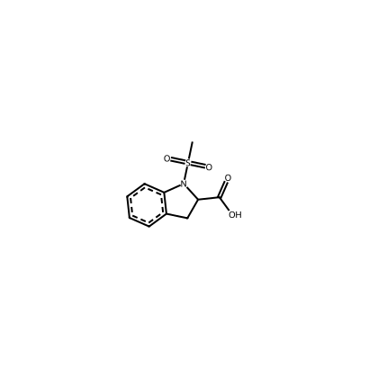 CS(=O)(=O)N1c2ccccc2CC1C(=O)O